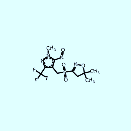 Cn1nc(C(F)(F)F)c(CS(=O)(=O)C2=NOC(C)(C)C2)c1N=O